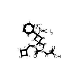 CN(C)[C@]1(c2ccccc2)C[C@]2(CN(CC(=O)O)C(=O)N2CC2CCC2)C1